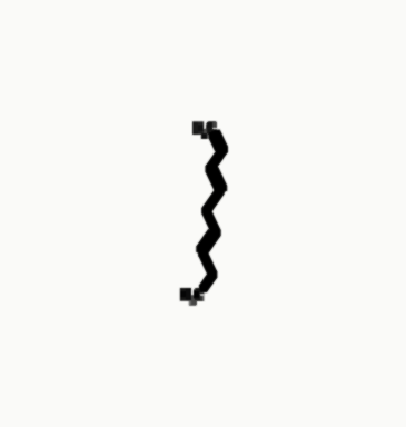 C=CC=CCC=CCC